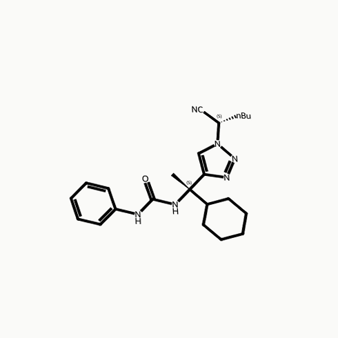 CCCC[C@@H](C#N)n1cc([C@@](C)(NC(=O)Nc2ccccc2)C2CCCCC2)nn1